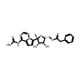 CCCCC(=O)Nc1ncnn2c([C@]3(C)O[C@H](COC(=O)Cc4ccccc4)[C@@H](O)[C@H]3O)ccc12